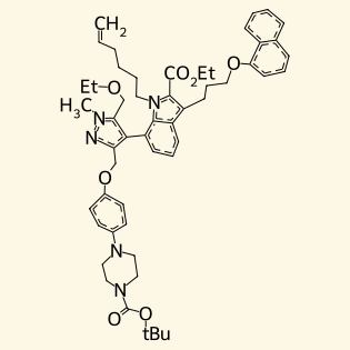 C=CCCCCn1c(C(=O)OCC)c(CCCOc2cccc3ccccc23)c2cccc(-c3c(COc4ccc(N5CCN(C(=O)OC(C)(C)C)CC5)cc4)nn(C)c3COCC)c21